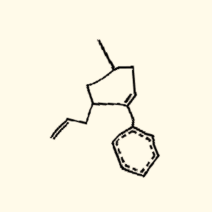 C=CCC1CC(C)CC=C1c1ccccc1